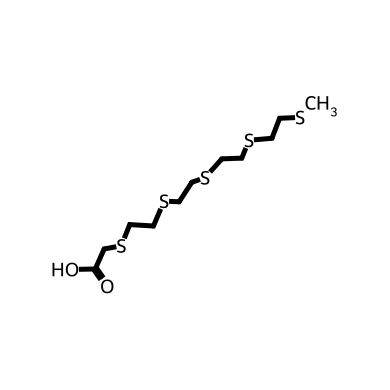 CSCCSCCSCCSCCSCC(=O)O